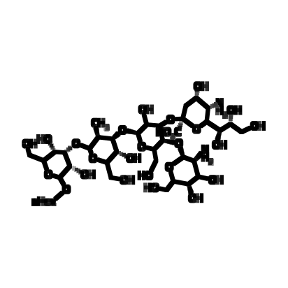 CCCCCCOC1OC(CO)[C@H](O)[C@H](OC2OC(CO)[C@@H](O)[C@H](O[C@@H]3OC(CO)[C@H](O[C@@H]4OC(CO)[C@H](O)C(O)[C@@H]4N)C(O[C@@]4(C(=O)O)C[C@H](O)[C@H](N)C([C@H](O)[C@H](O)CO)O4)C3O)[C@@H]2C)[C@@H]1O